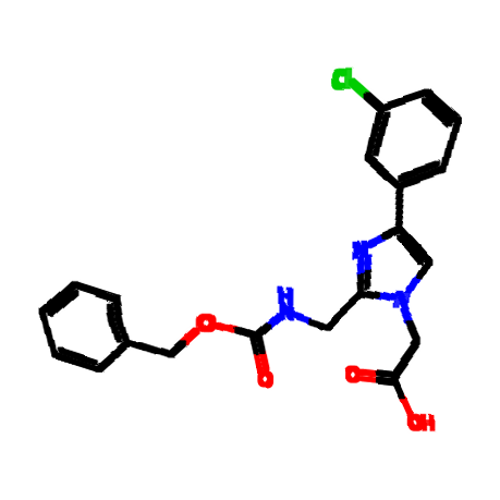 O=C(O)Cn1cc(-c2cccc(Cl)c2)nc1CNC(=O)OCc1ccccc1